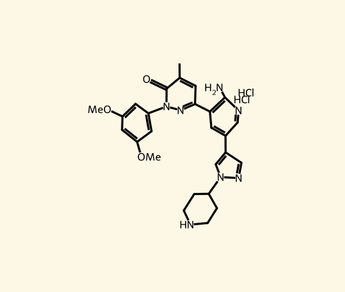 COc1cc(OC)cc(-n2nc(-c3cc(-c4cnn(C5CCNCC5)c4)cnc3N)cc(C)c2=O)c1.Cl.Cl